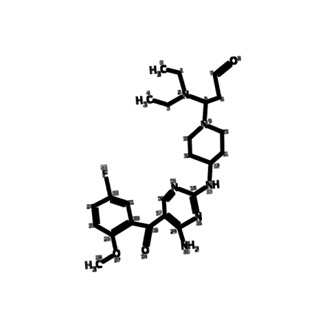 CCN(CC)C(CC=O)N1CCC(Nc2ncc(C(=O)c3cc(F)ccc3OC)c(N)n2)CC1